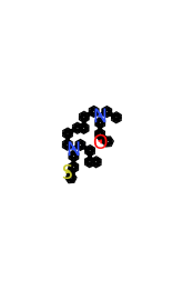 c1ccc(-c2cccc(N(c3ccc(-c4ccc5oc6ccccc6c5c4)cc3)c3cccc(-c4cccc(-c5cccc6cc(-c7cccc(-c8cccc(N(c9ccc(-c%10ccc%11c(c%10)sc%10ccccc%10%11)cc9)c9cccc(-c%10cccc(-c%11cccc%12ccccc%11%12)c%10)c9)c8)c7)ccc56)c4)c3)c2)cc1